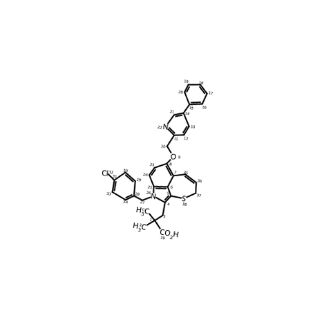 CC(C)(Cc1c2c3c(c(OCc4ccc(-c5ccccc5)cn4)ccc3n1Cc1ccc(Cl)cc1)C=CCS2)C(=O)O